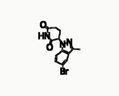 Cc1nn(C2CCC(=O)NC2=O)c2ccc(Br)cc12